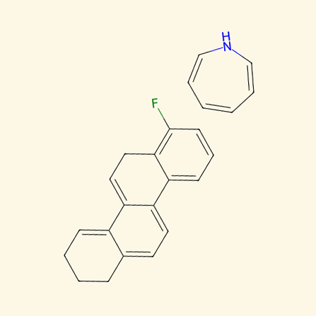 C1=CC=CNC=C1.Fc1cccc2c1CC=c1c-2ccc2c1=CCCC2